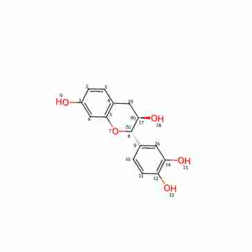 Oc1ccc2c(c1)O[C@@H](c1ccc(O)c(O)c1)[C@H](O)C2